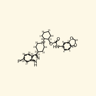 O=C(Nc1ccc2c(c1)OCO2)OC1CCCCC1N1CCC(c2n[nH]c3cc(F)ccc23)CC1